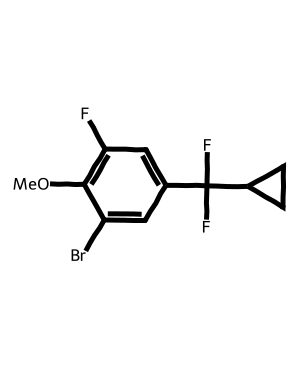 COc1c(F)cc(C(F)(F)C2CC2)cc1Br